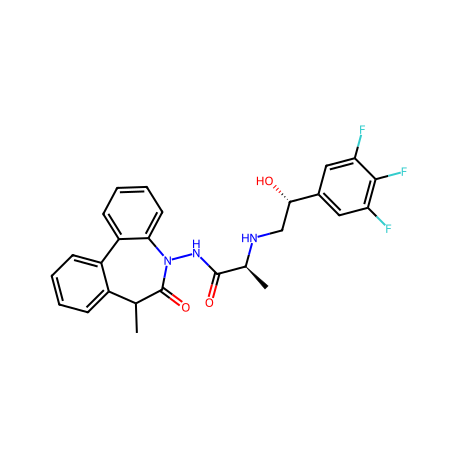 CC1C(=O)N(NC(=O)[C@H](C)NC[C@H](O)c2cc(F)c(F)c(F)c2)c2ccccc2-c2ccccc21